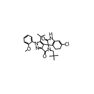 COc1ccccc1-n1nc2c(c1C(C)C)C1(C(=O)NC3=C1CCC(Cl)=C3)N(CC(C)(C)C)C2=O